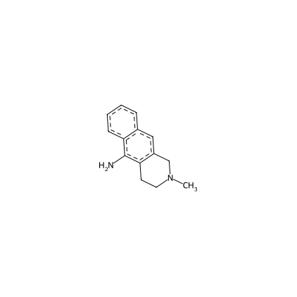 CN1CCc2c(cc3ccccc3c2N)C1